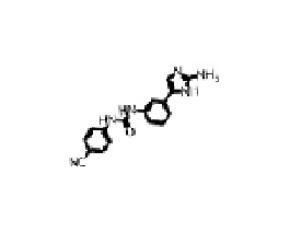 N#Cc1ccc(NC(=O)Nc2cccc(-c3cnc(N)[nH]3)c2)cc1